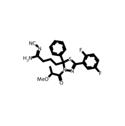 COC(C)C(=O)N1N=C(c2cc(F)ccc2F)SC1(CCCC(N)=NC#N)c1ccccc1